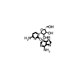 Nc1ccn([C@@H]2O[C@H](CO)[C@@H](O)[C@H]2O)c(=O)n1.Nc1ncnc2[nH]cnc12